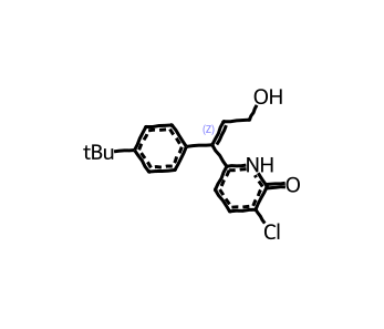 CC(C)(C)c1ccc(/C(=C/CO)c2ccc(Cl)c(=O)[nH]2)cc1